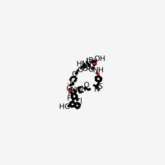 C=CC(=O)N1CCN(c2nc(O[C@H](C)CN3CCC(OCCOCC(=O)N[C@H](C(=O)N4C[C@@H](O)C[C@H]4C(=O)NCCc4ccc(-c5scnc5C)cc4)C(C)(C)C)CC3)nc3c(F)c(-c4cc(O)cc5ccccc45)c(Cl)cc23)CC1